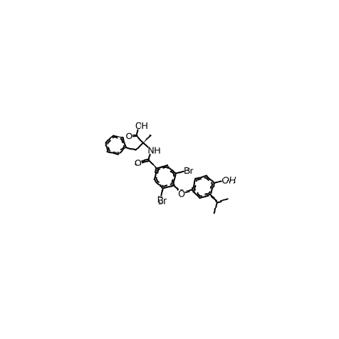 CC(C)c1cc(Oc2c(Br)cc(C(=O)N[C@](C)(Cc3ccccc3)C(=O)O)cc2Br)ccc1O